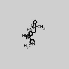 Cc1cc(-c2n[nH]c3cc4c(cc23)CCN(C(C)C2CCCC2)C(=O)N4)ccn1